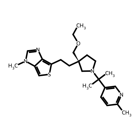 CCOC[C@@]1(CCc2scc3c2ncn3C)CCN(C(C)(C)c2ccc(C)nc2)C1